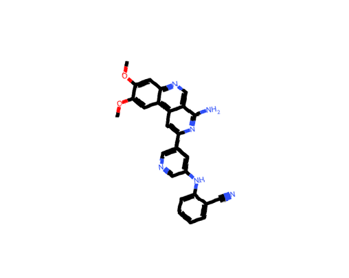 COc1cc2ncc3c(N)nc(-c4cncc(Nc5ccccc5C#N)c4)cc3c2cc1OC